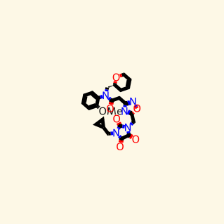 COc1ccccc1N(C[C@H]1CC=CCO1)C(=O)Cc1noc(CN2C(=O)C(=O)N(CC3CC3)C2=O)n1